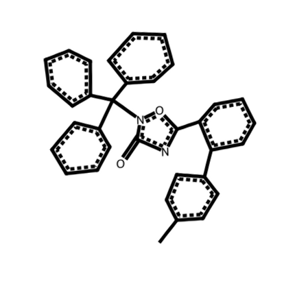 Cc1ccc(-c2ccccc2-c2nc(=O)n(C(c3ccccc3)(c3ccccc3)c3ccccc3)o2)cc1